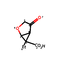 CCC1(C(=O)O)C2OCC(=O)C21